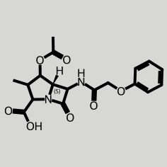 CC(=O)OC1C(C)C(C(=O)O)N2C(=O)C(NC(=O)COc3ccccc3)[C@@H]12